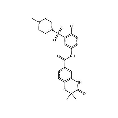 CN1CCN(S(=O)(=O)c2cc(NC(=O)c3ccc4c(c3)NC(=O)C(C)(C)O4)ccc2Cl)CC1